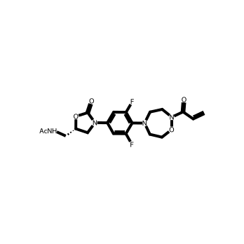 C=CC(=O)N1CCN(c2c(F)cc(N3C[C@H](CNC(C)=O)OC3=O)cc2F)CCO1